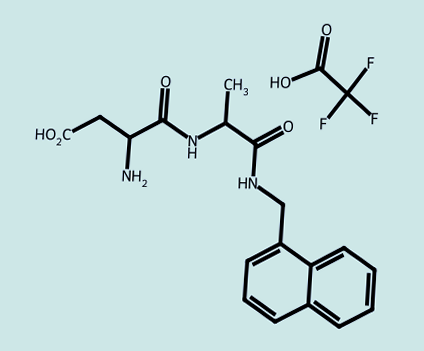 CC(NC(=O)C(N)CC(=O)O)C(=O)NCc1cccc2ccccc12.O=C(O)C(F)(F)F